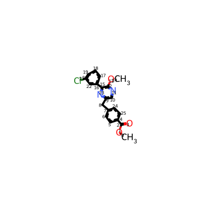 COC(=O)c1ccc(Cc2cnc(OC)c(-c3cccc(Cl)c3)n2)cc1